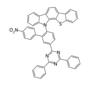 O=[N+]([O-])c1ccc(-c2cc(-c3nc(-c4ccccc4)nc(-c4ccccc4)n3)ccc2-n2c3ccccc3c3ccc4c5ccccc5sc4c32)cc1